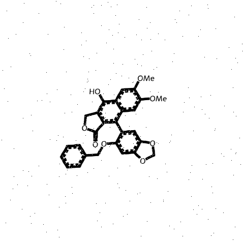 COc1cc2c(O)c3c(c(-c4cc5c(cc4OCc4ccccc4)OCO5)c2cc1OC)C(=O)OC3